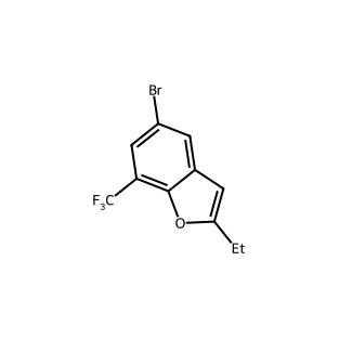 CCc1cc2cc(Br)cc(C(F)(F)F)c2o1